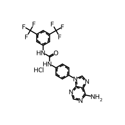 Cl.Nc1ncnc2c1ncn2-c1ccc(NC(=O)Nc2cc(C(F)(F)F)cc(C(F)(F)F)c2)cc1